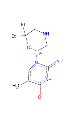 CCC1(CC)CNC[C@H](n2cc(C)c(=O)[nH]c2=N)O1